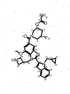 COc1cc(C(=O)N2C[C@H](F)C[C@@H](OC(N)=O)C2)cc2nc(-c3cc4ccccc4n3CC3CC3)n(CC3CNC3)c12